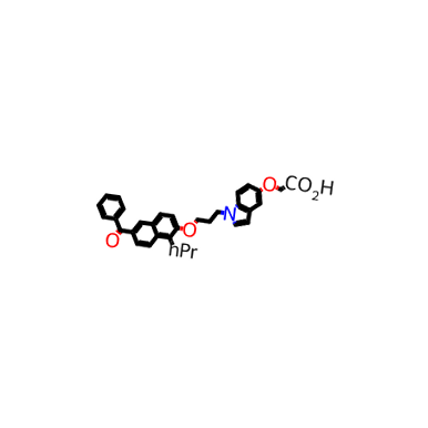 CCCc1c(OCCCn2ccc3cc(OCC(=O)O)ccc32)ccc2cc(C(=O)c3ccccc3)ccc12